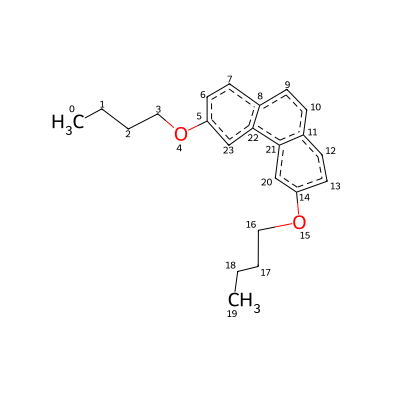 CCCCOc1ccc2ccc3ccc(OCCCC)cc3c2c1